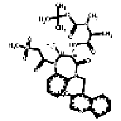 Cc1cnc2ccccc2c1CN1C(=O)[C@@H](NC(=O)C(C)N(C)C(=O)OC(C)(C)C)[C@H](C)N(C(=O)CS(C)(=O)=O)c2ccccc21